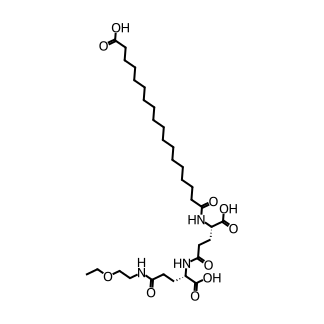 CCOCCNC(=O)CC[C@H](NC(=O)CC[C@H](NC(=O)CCCCCCCCCCCCCCCCC(=O)O)C(=O)O)C(=O)O